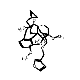 COc1ccc2c3c1O[C@H]1[C@@]4(OC)CC[C@@]5(C[C@@H]4COCc4ccoc4)[C@@H](C2)C(C)(CC2CC2)CC[C@]315